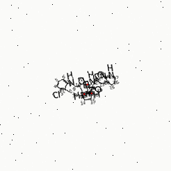 Cc1c(Cl)cccc1NCC(=O)N1[C@H]2CC[C@@H]([C@@H]1C(=O)N[C@@H](C#N)C[C@@H]1CCCNC1=O)C(F)(F)C2